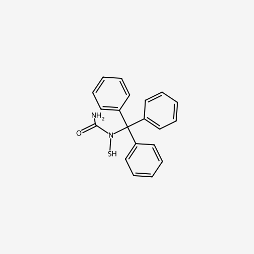 NC(=O)N(S)C(c1ccccc1)(c1ccccc1)c1ccccc1